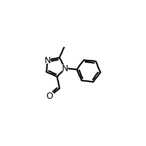 Cc1ncc(C=O)n1-c1ccccc1